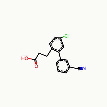 N#Cc1cccc(-c2cc(Cl)ccc2CCC(=O)O)c1